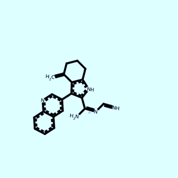 C=C1CCCc2[nH]c(/C(N)=N\C=N)c(-c3cnc4ccccc4c3)c21